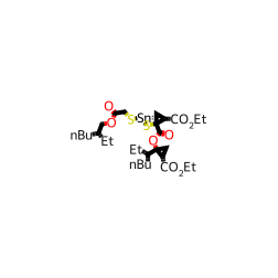 CCCCC(CC)COC(=O)C[S][Sn][S]C1(C(=O)OC2(C(CC)CCCC)CC2C(=O)OCC)CC1C(=O)OCC